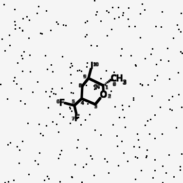 C[C@@H]1OCC(C(F)F)CC1I